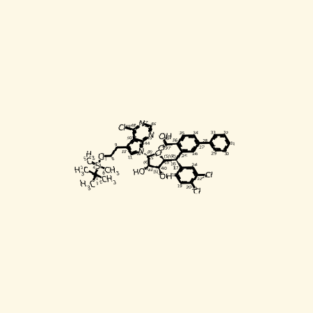 CC(C)(C)[Si](C)(C)OCCc1cn([C@@H]2O[C@@H]([C@H](c3ccc(Cl)c(Cl)c3)c3cc(-c4ccccc4)ccc3C(=O)O)[C@@H](O)[C@H]2O)c2ncnc(Cl)c12